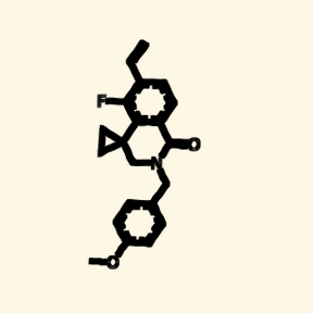 C=Cc1ccc2c(c1F)C1(CC1)CN(Cc1ccc(OC)cc1)C2=O